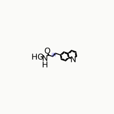 O=C(/C=C/c1ccc2ncccc2c1)NO